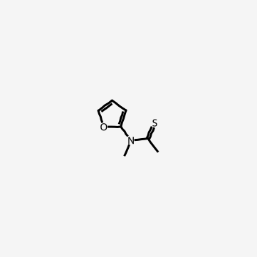 CC(=S)N(C)c1ccco1